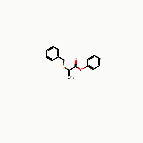 C=C(SCc1ccccc1)C(=O)Oc1ccccc1